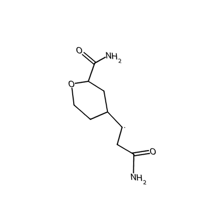 NC(=O)C[CH]C1CCOC(C(N)=O)C1